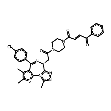 Cc1sc2c(c1C)C(c1ccc(Cl)cc1)=N[C@@H](CC(=O)N1CCN(C(=O)/C=C/C(=O)c3ccccc3)CC1)c1nnc(C)n1-2